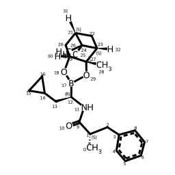 C[C@@H](Cc1ccccc1)C(=O)N[C@@H](CC1CC1)B1O[C@@H]2C[C@@H]3C[C@@H](C3(C)C)[C@]2(C)O1